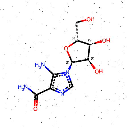 NC(=O)c1ncn([C@H]2O[C@H](CO)[C@@H](O)[C@H]2O)c1N